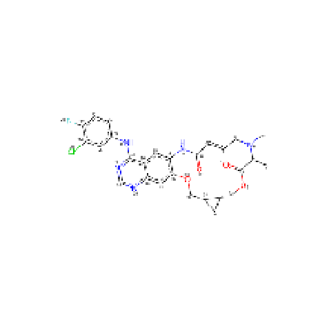 COC(=O)C(C)N(C)C/C=C/C(=O)Nc1cc2c(Nc3ccc(F)c(Cl)c3)ncnc2cc1OCC1CC1